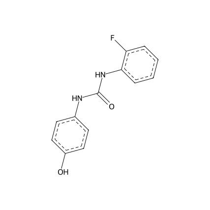 O=C(Nc1ccc(O)cc1)Nc1ccccc1F